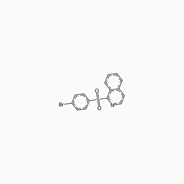 O=S(=O)(c1ccc(Br)cc1)c1nccc2ccccc12